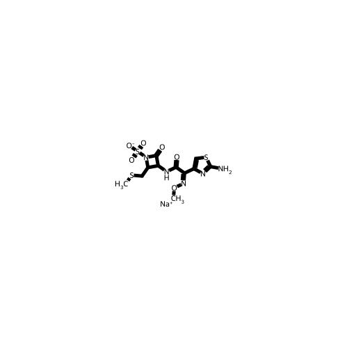 CON=C(C(=O)NC1C(=O)N(S(=O)(=O)[O-])C1CSC)c1csc(N)n1.[Na+]